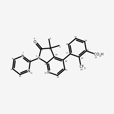 CC1(C)C(=O)N(c2ncccn2)c2nccc(-c3cccc(C(=O)O)c3C(F)(F)F)c21